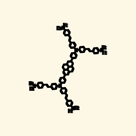 CCN(CC)c1ccc(C=Cc2ccc(N(c3ccc(C=Cc4ccc(N(CC)CC)cc4)cc3)c3ccc(C4=CC5=CCc6cc(-c7ccc(N(c8ccc(C=Cc9ccc(N(CC)CC)cc9)cc8)c8ccc(C=Cc9ccc(N(CC)CC)cc9)cc8)cc7)cc7ccc(c5c67)C4)cc3)cc2)cc1